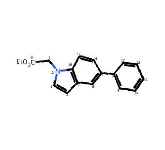 CCOC(=O)Cn1ccc2cc(-c3ccccc3)ccc21